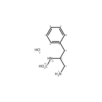 Cl.NCC(Cc1ccccc1)NC(=O)O